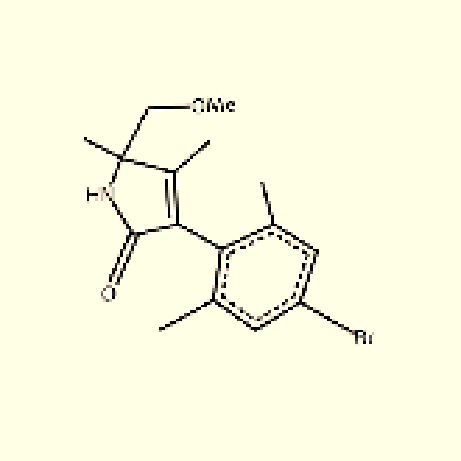 COCC1(C)NC(=O)C(c2c(C)cc(Br)cc2C)=C1C